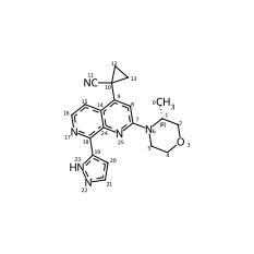 C[C@@H]1COCCN1c1cc(C2(C#N)CC2)c2ccnc(-c3ccn[nH]3)c2n1